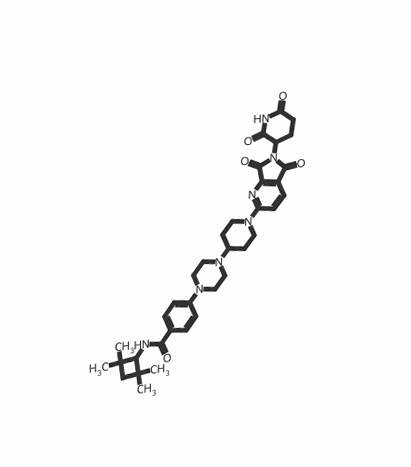 CC1(C)CC(C)(C)C1NC(=O)c1ccc(N2CCN(C3CCN(c4ccc5c(n4)C(=O)N(C4CCC(=O)NC4=O)C5=O)CC3)CC2)cc1